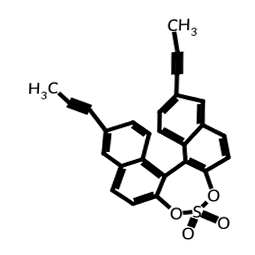 CC#Cc1ccc2c3c(ccc2c1)OS(=O)(=O)Oc1ccc2cc(C#CC)ccc2c1-3